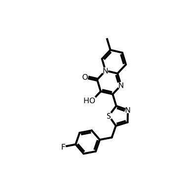 Cc1ccc2nc(-c3ncc(Cc4ccc(F)cc4)s3)c(O)c(=O)n2c1